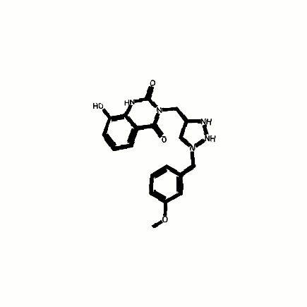 COc1cccc(CN2CC(Cn3c(=O)[nH]c4c(O)cccc4c3=O)NN2)c1